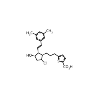 Cc1cc(C)cc(C=C[C@H]2[C@@H](CCCc3ccc(C(=O)O)s3)[C@@H](Cl)C[C@H]2O)c1